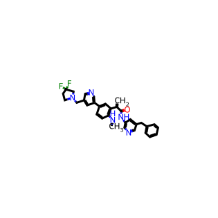 C=C(C(=O)Nc1cncc(Cc2ccccc2)c1)c1cc(-c2cncc(CN3CCC(F)(F)C3)c2)ccc1NC